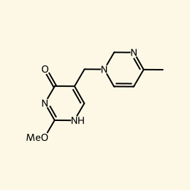 COc1nc(=O)c(CN2C=CC(C)=NC2)c[nH]1